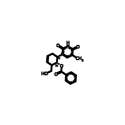 Cc1cn([C@@H]2CC=CC(CO)[C@H]2OC(=O)c2ccccc2)c(=O)[nH]c1=O